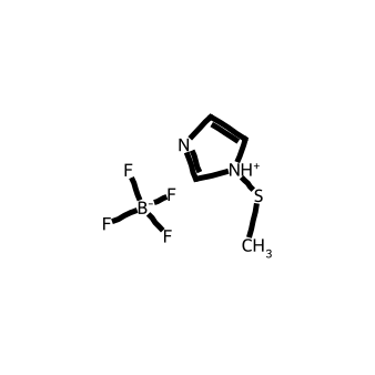 CS[NH+]1C=CN=C1.F[B-](F)(F)F